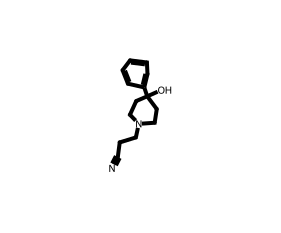 N#CCCN1CCC(O)(c2ccccc2)CC1